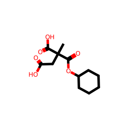 CC(CC(=O)O)(C(=O)O)C(=O)OC1CCCCC1